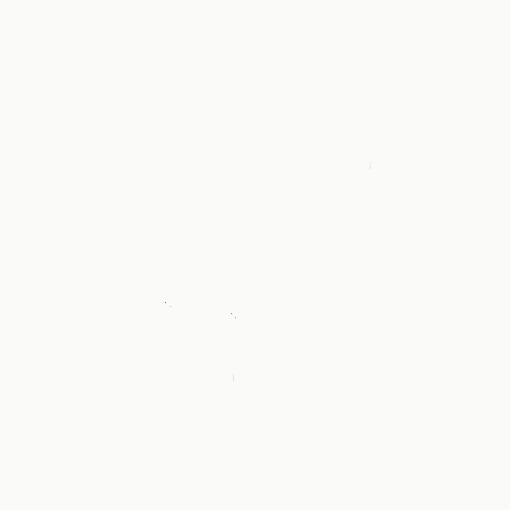 CCOc1ccc(-c2ccc3c(c2)N(C(C)C)c2c(cccc2C(F)(F)F)N3C(C)C)c2ccccc12